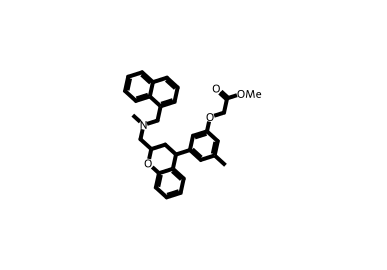 COC(=O)COc1cc(C)cc(C2CC(CN(C)Cc3cccc4ccccc34)Oc3ccccc32)c1